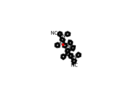 [C-]#[N+]c1ccc2c(c1)c1cc3c(cc1n2-c1ccccc1)c1cc([Si](c2ccccc2)(c2ccccc2)c2ccc4c(c2)c2cc5c(cc2n4-c2ccccc2)c2cc(C#N)ccc2n5-c2ccccc2)ccc1n3-c1ccccc1